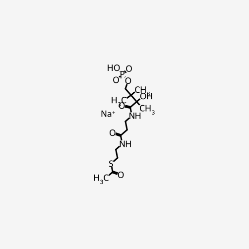 CC(=O)SCCNC(=O)CCNC(=O)C(C)(O)C(C)(C)COP(=O)([O-])O.[Na+]